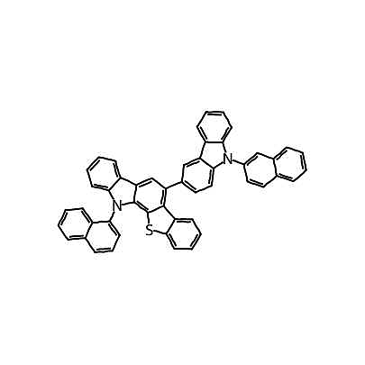 c1ccc2cc(-n3c4ccccc4c4cc(-c5cc6c7ccccc7n(-c7cccc8ccccc78)c6c6sc7ccccc7c56)ccc43)ccc2c1